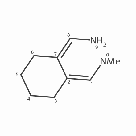 CN/C=C1/CCCC/C1=C/N